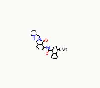 COc1ccc(C(=O)Nc2cccc3c2C(=O)N(CC2CCCCN2)C3)c2ccccc12